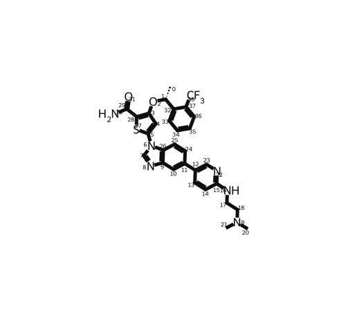 C[C@@H](Oc1cc(-n2cnc3cc(-c4ccc(NCCN(C)C)nc4)ccc32)sc1C(N)=O)c1ccccc1C(F)(F)F